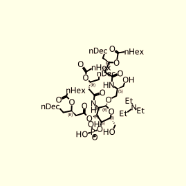 CCCCCCCCCCC[C@H](CC(=O)N[C@@H](CO)CO[C@@H]1O[C@H](CO)[C@@H](OP(=O)(O)O)[C@H](OC(=O)C[C@@H](CCCCCCCCCCC)OC(=O)CCCCCC)[C@H]1NC(=O)C[C@@H](CCCCCCCCCCC)OC(=O)CCCCCC)OC(=O)CCCCCC.CCN(CC)CC